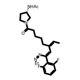 C\C=C(/C=C(\N=N/CC)c1c(F)cccc1F)CCCCC(=O)N1CC[C@H](NC(C)=O)C1